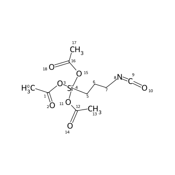 CC(=O)O[Si](CCCN=C=O)(OC(C)=O)OC(C)=O